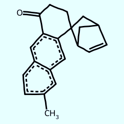 Cc1ccc2cc3c(cc2c1)C1(CCC3=O)CC2C=CC1C2